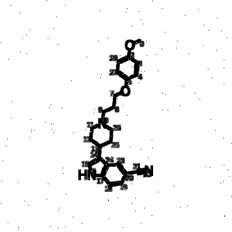 COc1ccc(OCCCN2CCC(c3c[nH]c4ccc(C#N)cc34)CC2)cc1